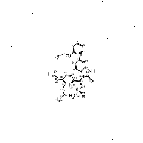 CCOc1ccccc1-c1ccc2c(c1)[nH]c(=O)n2C(CS(C)(=O)=O)c1ccc(OC)c(OCC)n1